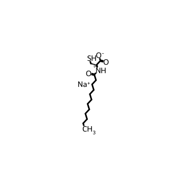 CCCCCCCCCCCC(=O)N[C@@H](CS)C(=O)[O-].[Na+]